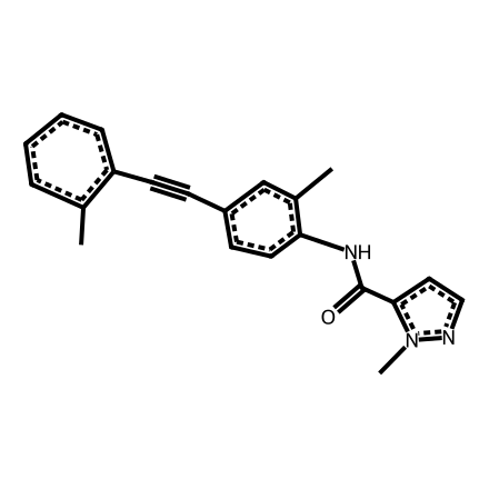 Cc1ccccc1C#Cc1ccc(NC(=O)c2ccnn2C)c(C)c1